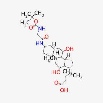 C[C@H](CCC(=O)O)[C@H]1CC[C@H]2[C@@H]3[C@H](O)C[C@@H]4C[C@@H](NC(=O)CNC(=O)OC(C)(C)C)CC[C@]4(C)[C@H]3C[C@H](O)[C@]12C